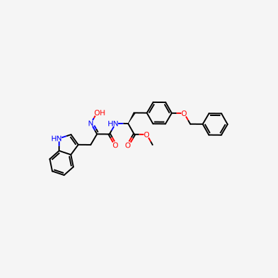 COC(=O)[C@H](Cc1ccc(OCc2ccccc2)cc1)NC(=O)C(Cc1c[nH]c2ccccc12)=NO